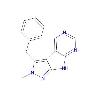 Cn1nc2[nH]c3ncncc3c2c1Cc1ccccc1